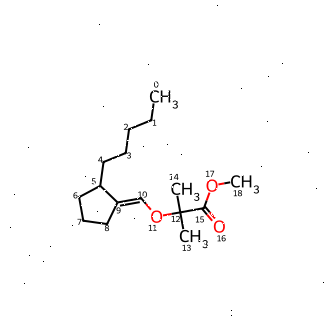 CCCCCC1CCCC1=COC(C)(C)C(=O)OC